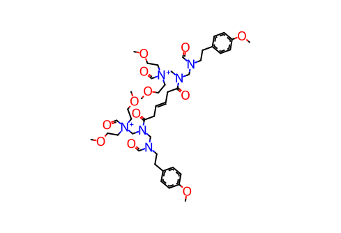 COCC[N+](C=O)(CCOC)CN(CN(C=O)CCc1ccc(OC)cc1)C(=O)C/C=C/CC(=O)N(CN(C=O)CCc1ccc(OC)cc1)C[N+](C=O)(CCOC)CCOC